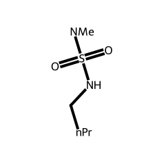 CCCCNS(=O)(=O)NC